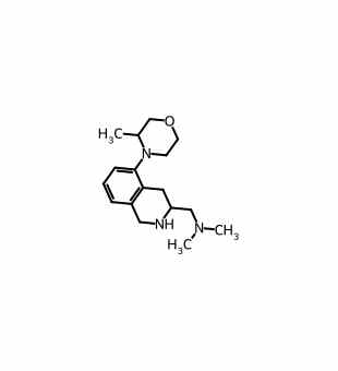 CC1COCCN1c1cccc2c1CC(CN(C)C)NC2